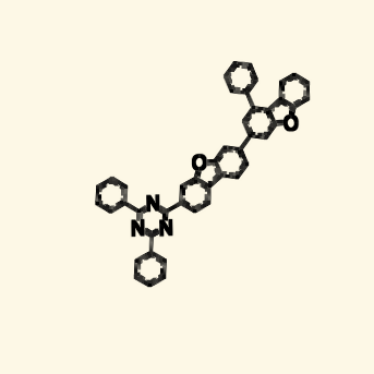 c1ccc(-c2nc(-c3ccccc3)nc(-c3ccc4c(c3)oc3cc(-c5cc(-c6ccccc6)c6c(c5)oc5ccccc56)ccc34)n2)cc1